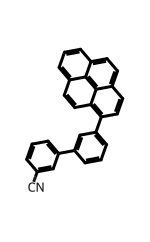 N#Cc1cccc(-c2cccc(-c3ccc4ccc5cccc6ccc3c4c56)c2)c1